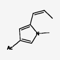 C/C=C\c1cc(C(C)=O)cn1C